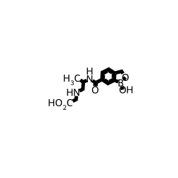 CC(CNCC(=O)O)NC(=O)c1ccc2c(c1)B(O)OC2